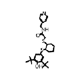 CC(C)(C)c1cc(SC2CCCCC2SCC(=O)NCc2ccncc2)cc(C(C)(C)C)c1O